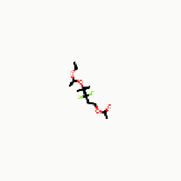 CCOC(C)OC(C)(C)C(F)(F)CCOC(C)=O